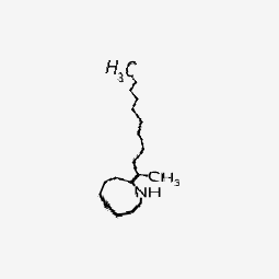 CCCCCCCCCC(C)C1CCCCCCCN1